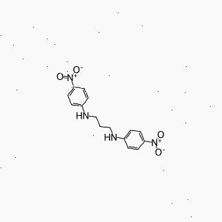 O=[N+]([O-])c1ccc(NCCCNc2ccc([N+](=O)[O-])cc2)cc1